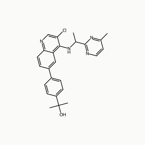 Cc1ccnc(C(C)Nc2c(Cl)cnc3ccc(-c4ccc(C(C)(C)O)cc4)cc23)n1